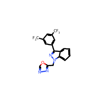 FC(F)(F)c1cc(-c2nn(Cc3nnco3)c3ccccc23)cc(C(F)(F)F)c1